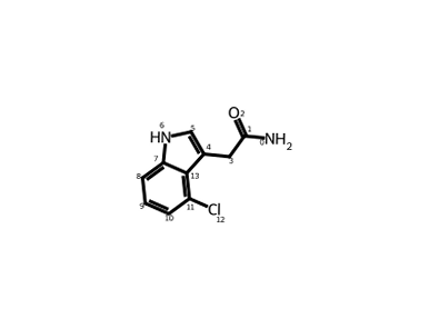 NC(=O)Cc1c[nH]c2cccc(Cl)c12